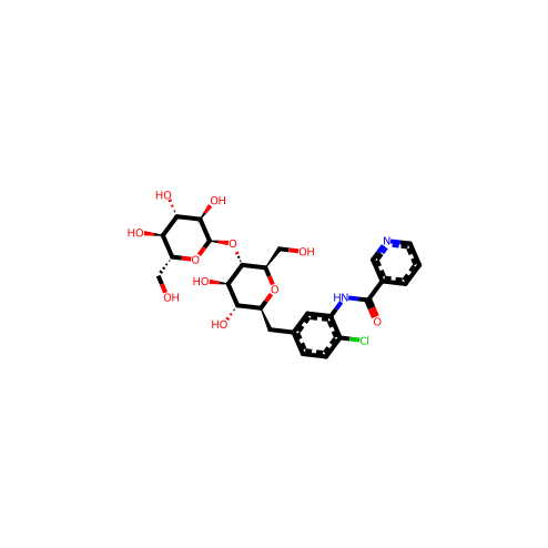 O=C(Nc1cc(C[C@@H]2O[C@H](CO)[C@@H](O[C@H]3O[C@H](CO)[C@@H](O)[C@H](O)[C@H]3O)[C@H](O)[C@H]2O)ccc1Cl)c1cccnc1